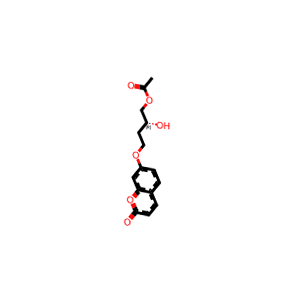 CC(=O)OC[C@H](O)CCOc1ccc2ccc(=O)oc2c1